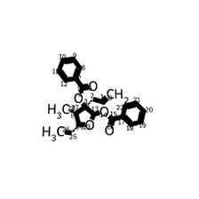 C=CC[C@]1(OC(=O)c2ccccc2)C(OC(=O)c2ccccc2)O[C@H](CC)[C@H]1C